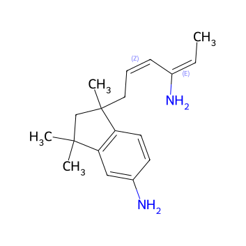 C/C=C(N)\C=C/CC1(C)CC(C)(C)c2cc(N)ccc21